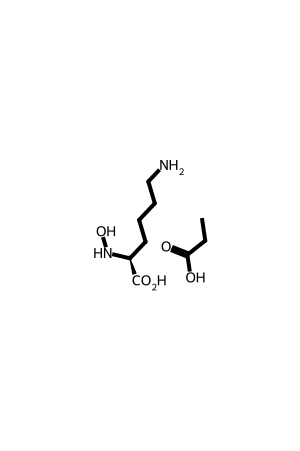 CCC(=O)O.NCCCC[C@H](NO)C(=O)O